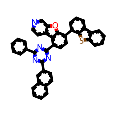 c1ccc(-c2nc(-c3ccc4ccccc4c3)nc(-c3ccc(-c4cccc5c4sc4ccccc45)c4oc5cnccc5c34)n2)cc1